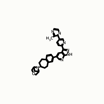 Cc1nccnc1-c1ccc(-c2n[nH]c3ncc(-c4ccc5c(c4)CC[C@@H](N4C6COCC4C6)CC5)cc23)nc1